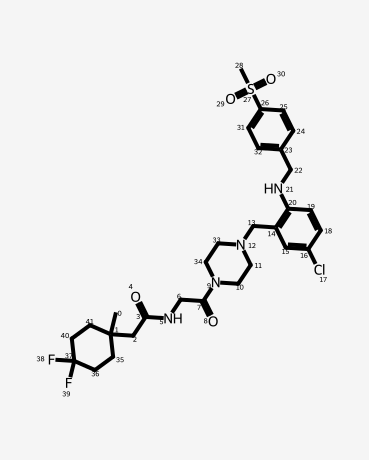 CC1(CC(=O)NCC(=O)N2CCN(Cc3cc(Cl)ccc3NCc3ccc(S(C)(=O)=O)cc3)CC2)CCC(F)(F)CC1